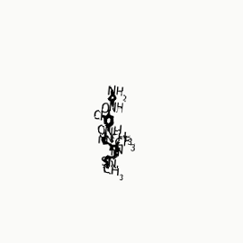 Cc1nc(Cn2cc(-c3cnc(C(=O)Nc4ccc(C(=O)NC5CC(N)C5)c(Cl)c4)n3C)c(C(F)(F)F)n2)cs1